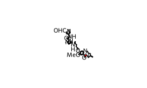 C=C1CC2C=Nc3cc(OCCCC(=C)Nc4cn(C)c(C(=O)Nc5cc(C=O)n(C)c5)n4)c(OC)cc3C(=O)N2C1